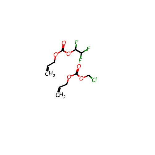 C=CCOC(=O)OC(F)C(F)F.C=CCOC(=O)OCCl